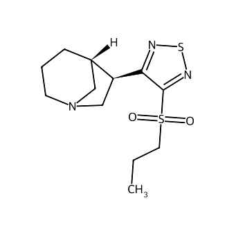 CCCS(=O)(=O)c1nsnc1[C@H]1CN2CCC[C@H]1C2